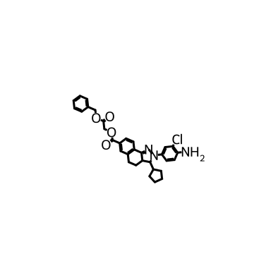 Nc1ccc(N2N=C3c4ccc(C(=O)OCC(=O)OCc5ccccc5)cc4CCC3C2C2CCCC2)cc1Cl